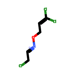 ClC/C=N/OCC=C(Cl)Cl